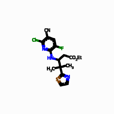 CCOC(=O)CC(Nc1nc(Cl)c(C#N)cc1F)C(C)(C)c1nccs1